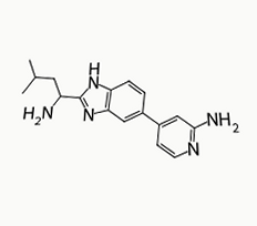 CC(C)CC(N)c1nc2cc(-c3ccnc(N)c3)ccc2[nH]1